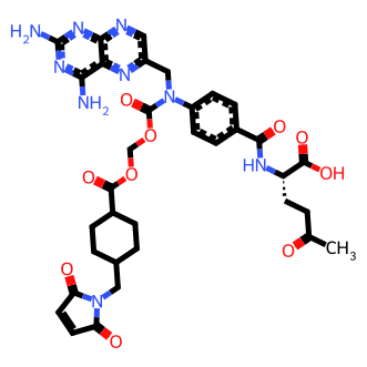 CC(=O)CC[C@H](NC(=O)c1ccc(N(Cc2cnc3nc(N)nc(N)c3n2)C(=O)OCOC(=O)C2CCC(CN3C(=O)C=CC3=O)CC2)cc1)C(=O)O